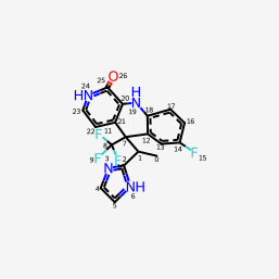 CC(c1ncc[nH]1)C1(C(F)(F)F)c2cc(F)ccc2Nc2c1cc[nH]c2=O